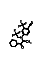 CC(C(=O)N1CCCCC1)N(CC(F)(F)F)c1ccc(C#N)c(C(F)(F)F)c1